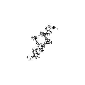 Nc1ncnc2c1ncn2[C@@H]1O[C@@H]2COP(=O)(O)COC3C4[C@H](n5cnc6c(N)ncnc65)C4(O)O[C@@H]3COP(=O)(O)OC1C2O